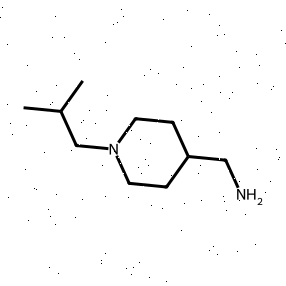 CC(C)CN1CCC(CN)CC1